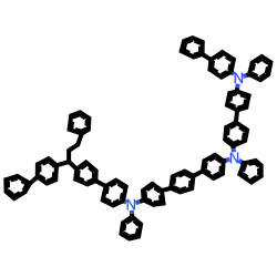 c1ccc(CCC(c2ccc(-c3ccccc3)cc2)c2ccc(-c3ccc(N(c4ccccc4)c4ccc(-c5ccc(-c6ccc(N(c7ccccc7)c7ccc(-c8ccc(N(c9ccccc9)c9ccc(-c%10ccccc%10)cc9)cc8)cc7)cc6)cc5)cc4)cc3)cc2)cc1